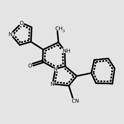 Cc1[nH]c2c(-c3ccccc3)c(C#N)nn2c(=O)c1-c1cnoc1